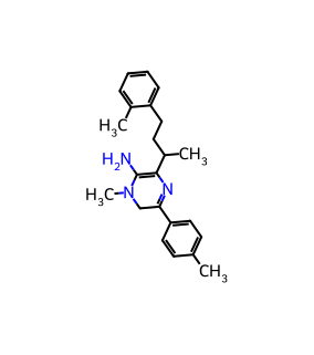 Cc1ccc(C2=NC(C(C)CCc3ccccc3C)=C(N)N(C)C2)cc1